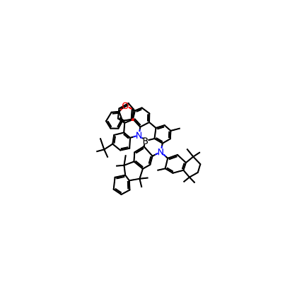 Cc1cc2c3c(c1)N(c1cc4c(cc1C)C(C)(C)CCC4(C)C)c1cc4c(cc1B3N(c1ccc(C(C)(C)C)cc1-c1ccccc1)c1c-2ccc2oc3ccccc3c12)C(C)(C)c1ccccc1C4(C)C